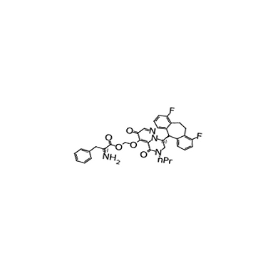 CCCN1C[C@H](C2c3cccc(F)c3CCc3c(F)cccc32)n2ncc(=O)c(OCOC(=O)[C@@H](N)Cc3ccccc3)c2C1=O